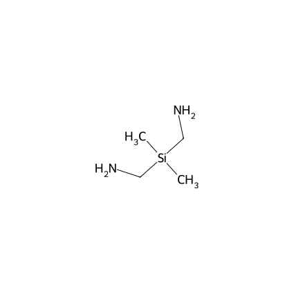 C[Si](C)(CN)CN